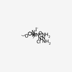 CCCOc1ccc2c(c1)n(CC)c(CNC(=O)c1nc(Cl)c(N)nc1N)[n+]2C.[I-]